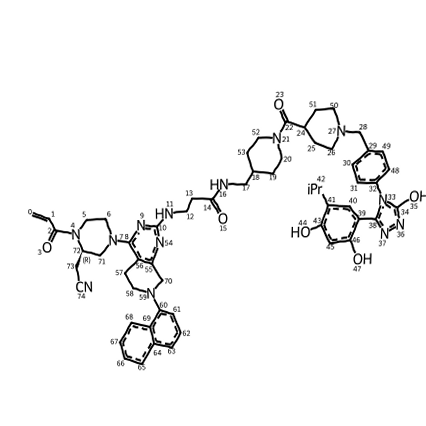 C=CC(=O)N1CCN(c2nc(NCCC(=O)NCC3CCN(C(=O)C4CCN(Cc5ccc(-n6c(O)nnc6-c6cc(C(C)C)c(O)cc6O)cc5)CC4)CC3)nc3c2CCN(c2cccc4ccccc24)C3)C[C@H]1CC#N